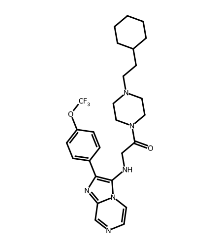 O=C(CNc1c(-c2ccc(OC(F)(F)F)cc2)nc2cnccn12)N1CCN(CCC2CCCCC2)CC1